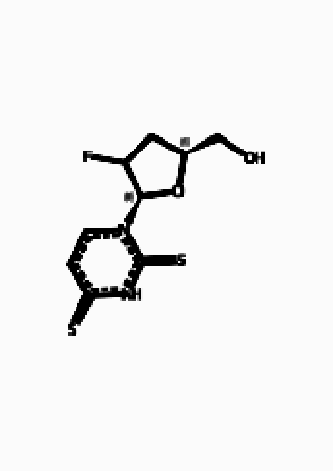 OC[C@@H]1CC(F)[C@H](n2ccc(=S)[nH]c2=S)O1